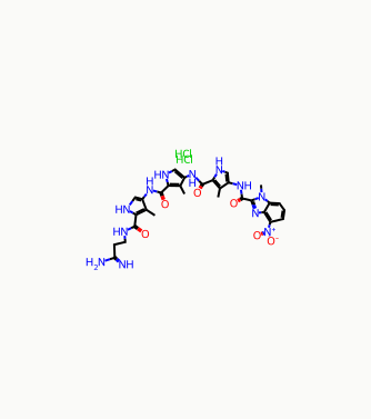 Cc1c(NC(=O)c2[nH]cc(NC(=O)c3[nH]cc(NC(=O)c4nc5c([N+](=O)[O-])cccc5n4C)c3C)c2C)c[nH]c1C(=O)NCCC(=N)N.Cl.Cl